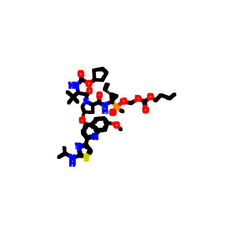 C=C[C@@H]1C[C@]1(NC(=O)C1C[C@@H](Oc2cc(-c3csc(NC(C)C)n3)nc3cc(OC)ccc23)CN1C(=O)C(NC(=O)OC1CCCC1)C(C)(C)C)P(C)(=O)OCOC(=O)OCCCC